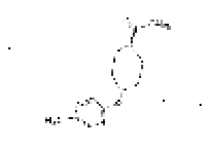 COC(=O)[C@H]1CC[C@H](Oc2ccc(C)cn2)CC1